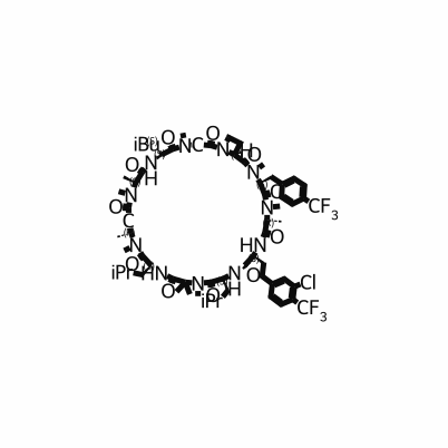 CC[C@H](C)[C@@H]1NC(=O)[C@H](C)N(C)C(=O)C[C@@H](C)N(C)C(=O)[C@H](CC(C)C)NC(=O)C(C)(C)N(C)C(=O)[C@H](CC(C)C)NC(=O)[C@H](CCc2ccc(C(F)(F)F)c(Cl)c2)NC(=O)[C@@H](C)N(C)C(=O)[C@H](Cc2ccc(C(F)(F)F)cc2)N(C)C(=O)[C@@H]2CCN2C(=O)CN(C)C1=O